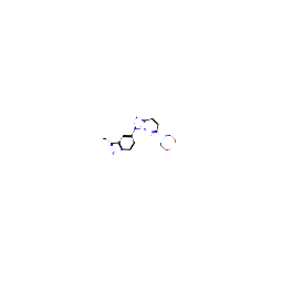 CCc1n[nH]c2ccc(-c3nnc4ccc(N5C[C@@H](C)O[C@@H](C)C5)nn34)cc12